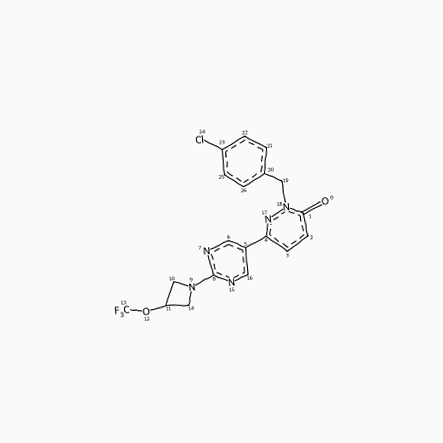 O=c1ccc(-c2cnc(N3CC(OC(F)(F)F)C3)nc2)nn1Cc1ccc(Cl)cc1